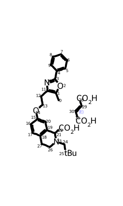 Cc1oc(-c2ccccc2)nc1CCOc1ccc2c(c1)C(C(=O)O)N(CC(C)(C)C)CC2.O=C(O)/C=C/C(=O)O